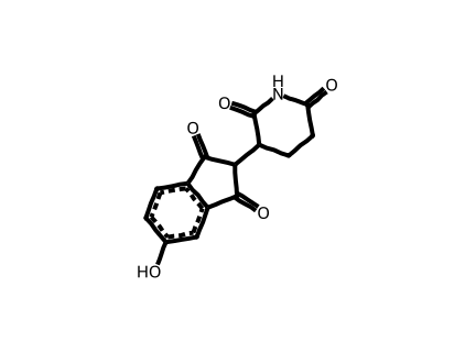 O=C1CCC(C2C(=O)c3ccc(O)cc3C2=O)C(=O)N1